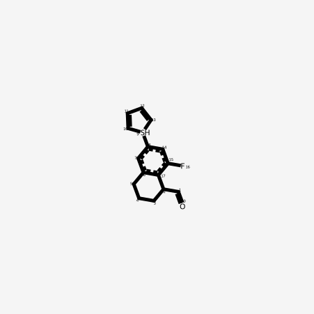 O=CC1CCCc2cc([SH]3C=CC=C3)cc(F)c21